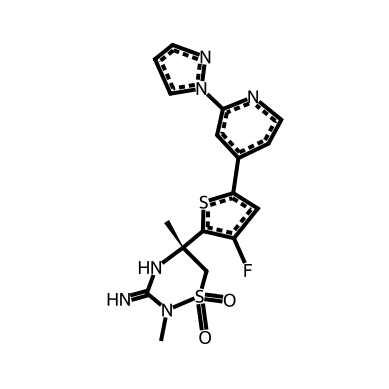 CN1C(=N)N[C@](C)(c2sc(-c3ccnc(-n4cccn4)c3)cc2F)CS1(=O)=O